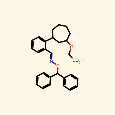 O=C(O)COC1CCCCC(c2ccccc2C=NOC(c2ccccc2)c2ccccc2)C1